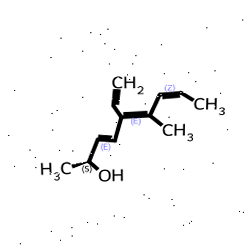 C=CC(/C=C/[C@H](C)O)=C(C)\C=C/C